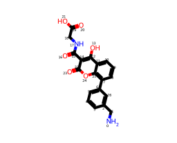 NCc1cccc(-c2cccc3c(O)c(C(=O)NCC(=O)O)c(=O)oc23)c1